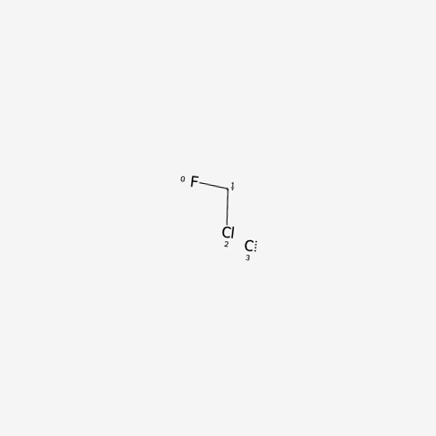 F[CH]Cl.[C]